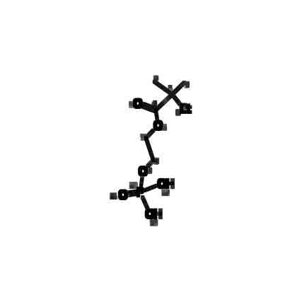 CCC(C)(C)C(=O)OCCOP(=O)(O)O